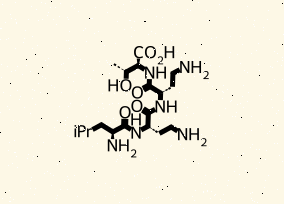 CC(C)C[C@H](N)C(=O)N[C@@H](CCN)C(=O)N[C@@H](CCN)C(=O)N[C@H](C(=O)O)[C@@H](C)O